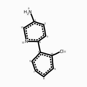 Nc1ccc(-c2ccccc2Cl)nc1